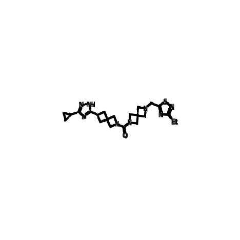 CCc1nsc(CN2CC3(C2)CN(C(=O)N2CC4(CC(c5nc(C6CC6)n[nH]5)C4)C2)C3)n1